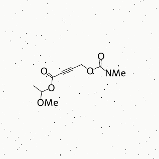 CNC(=O)OCC#CC(=O)OC(C)OC